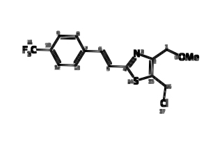 COCc1nc(C=Cc2ccc(C(F)(F)F)cc2)sc1CCl